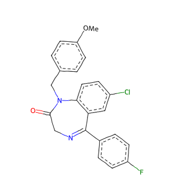 COc1ccc(CN2C(=O)CN=C(c3ccc(F)cc3)c3cc(Cl)ccc32)cc1